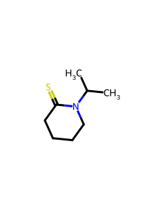 CC(C)N1CCCCC1=S